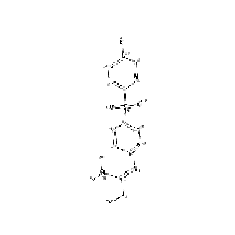 CCC(=Nc1ccc(S(=O)(=O)c2ccc(F)cc2)cc1)N(C)C